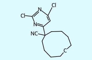 N#CC1(c2cc(Cl)nc(Cl)n2)CCCCCCCCC1